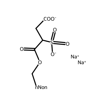 CCCCCCCCCCOC(=O)C(CC(=O)[O-])S(=O)(=O)[O-].[Na+].[Na+]